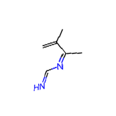 C=C(C)/C(C)=N\C=N